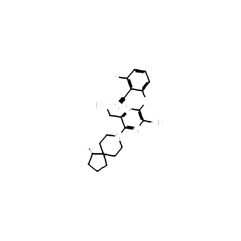 Cc1nc(N2CCC3(CCC[C@H]3C)CC2)c(CO)nc1Sc1cccc(F)c1C#N